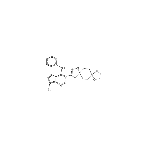 CCn1ncc2c(Nc3ccccc3)c(C3=NOC4(CCC5(CC4)OCCO5)C3)cnc21